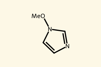 COn1ccnc1